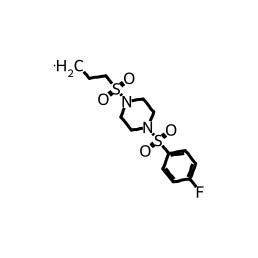 [CH2]CCS(=O)(=O)N1CCN(S(=O)(=O)c2ccc(F)cc2)CC1